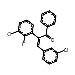 O=C(C(=Cc1cccc(Cl)c1)c1cccc(Cl)c1F)c1ccccc1